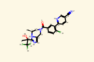 C[C@H]1CN(C(=O)c2ccc(F)c(-c3ccc(C#N)cn3)c2)Cc2cnc(C(C)(O)C(F)(F)F)n21